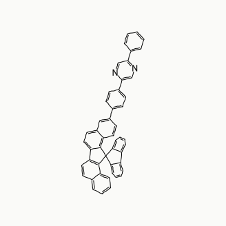 c1ccc(-c2cnc(-c3ccc(-c4ccc5c6c(ccc5c4)-c4ccc5ccccc5c4C64c5ccccc5-c5ccccc54)cc3)cn2)cc1